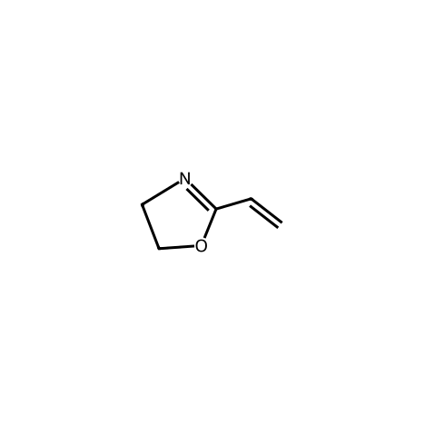 C=CC1=NCCO1